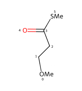 COCCC(=O)SC